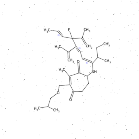 C=C(C)/C(=C\C=C(\NC1CCC(=O)C(COCC(C)C)=C(C)C1=O)C(C)CC)C(F)(/C=C/C)C(=C)C